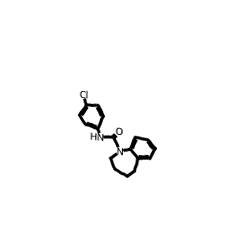 O=C(Nc1ccc(Cl)cc1)N1CCCCc2ccccc21